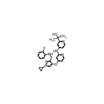 CC(C)(O)c1cc(Nc2cc(Oc3cn(C4CC4)nc3CNc3ccccc3F)ccn2)ccn1